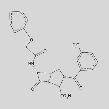 O=C(COc1ccccc1)N[C@H]1C(=O)N2C1CN(C(=O)c1cccc(C(F)(F)F)c1)C2C(=O)O